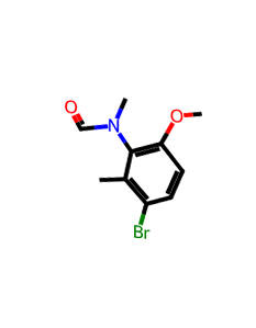 COc1ccc(Br)c(C)c1N(C)C=O